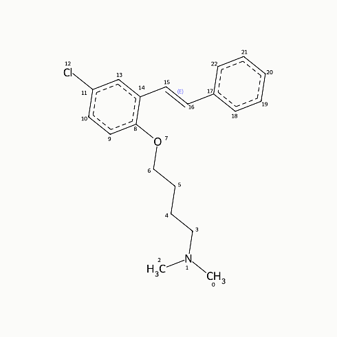 CN(C)CCCCOc1ccc(Cl)cc1/C=C/c1ccccc1